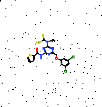 CCCN(C(=S)S)c1nc(COc2cc(Cl)cc(Cl)c2)nc(NC(=O)c2cccs2)n1